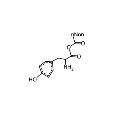 CCCCCCCCCC(=O)OC(=O)C(N)Cc1ccc(O)cc1